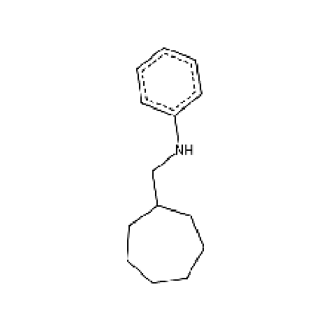 c1ccc(NCC2CCCCCC2)cc1